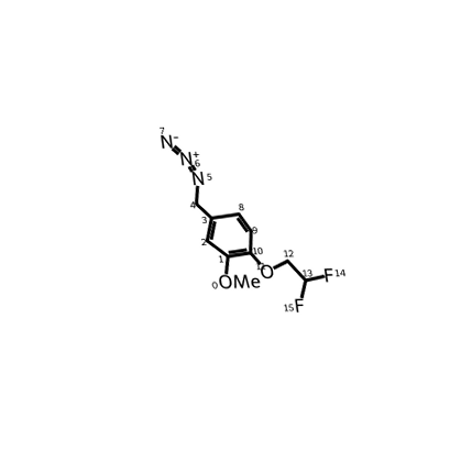 COc1cc(CN=[N+]=[N-])ccc1OCC(F)F